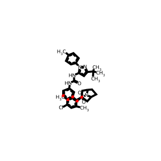 Cc1ccc(-n2nc(C(C)(C)C)cc2NC(=O)Nc2cccc(CC3CC4CCC(C3)N4S(=O)(=O)c3cc(C)c(Cl)cc3C)c2)cc1